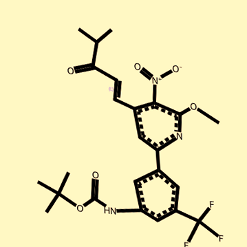 COc1nc(-c2cc(NC(=O)OC(C)(C)C)cc(C(F)(F)F)c2)cc(/C=C/C(=O)C(C)C)c1[N+](=O)[O-]